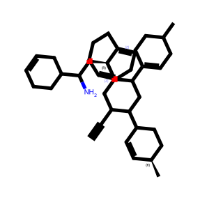 C#CC1CC([C@@H](CC(N)C2CC=CCC2)/C2=C\C/C=C\CCC2)C(C2=CCC(C)CC2)CC1C1C=C[C@H](C)CC1